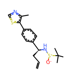 C=CC[C@H](N[S+]([O-])C(C)(C)C)c1ccc(-c2scnc2C)cc1